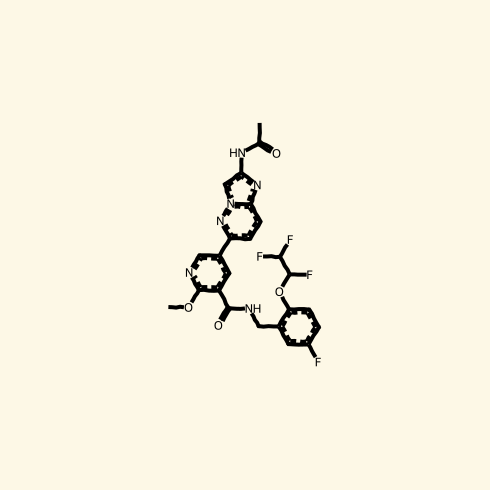 COc1ncc(-c2ccc3nc(NC(C)=O)cn3n2)cc1C(=O)NCc1cc(F)ccc1OC(F)C(F)F